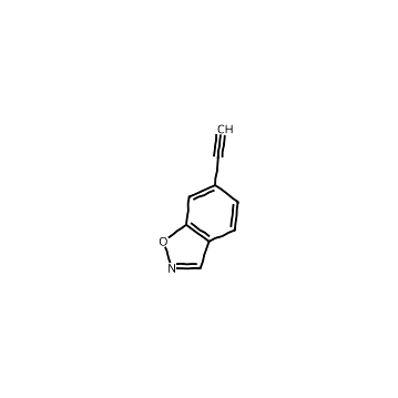 C#Cc1ccc2cnoc2c1